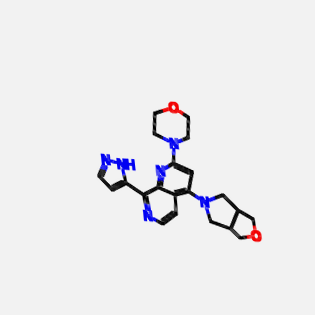 c1cc(-c2nccc3c(N4CC5COCC5C4)cc(N4CCOCC4)nc23)[nH]n1